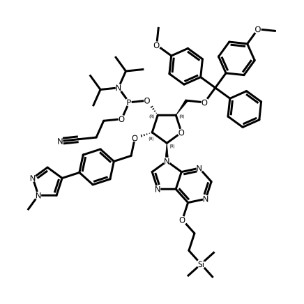 COc1ccc(C(OC[C@H]2O[C@@H](n3cnc4c(OCC[Si](C)(C)C)ncnc43)[C@H](OCc3ccc(-c4cnn(C)c4)cc3)[C@@H]2OP(OCCC#N)N(C(C)C)C(C)C)(c2ccccc2)c2ccc(OC)cc2)cc1